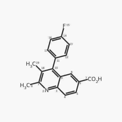 Cc1nc2ccc(C(=O)O)cc2c(-c2ccc(F)cc2)c1C